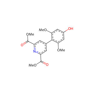 COC(=O)c1cc(-c2c(OC)cc(O)cc2OC)cc(C(=O)OC)n1